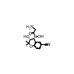 CC1(C)Oc2ccc(C#N)cc2[C@H](N(O)C(=O)CN)[C@H]1O